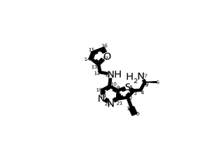 C#Cc1c(C[C@H](C)N)sc2c(NCc3ccco3)cnnc12